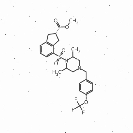 COC(=O)[C@H]1Cc2cccc(S(=O)(=O)N3C(C)CN(Cc4ccc(OC(F)(F)F)cc4)CC3C)c2C1